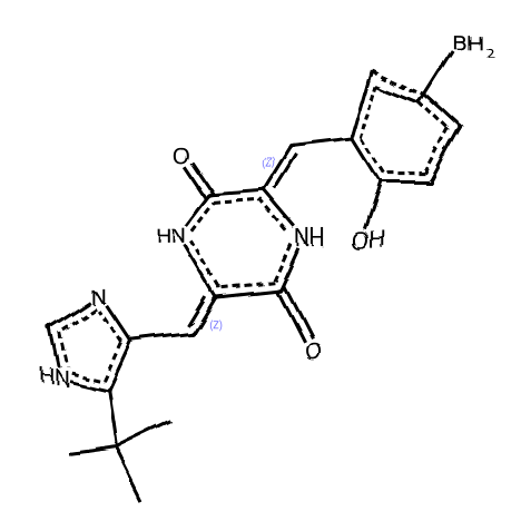 Bc1ccc(O)c(/C=c2\[nH]c(=O)/c(=C/c3nc[nH]c3C(C)(C)C)[nH]c2=O)c1